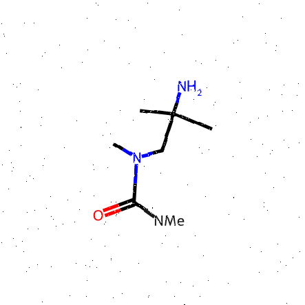 CNC(=O)N(C)CC(C)(C)N